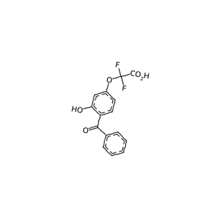 O=C(c1ccccc1)c1ccc(OC(F)(F)C(=O)O)cc1O